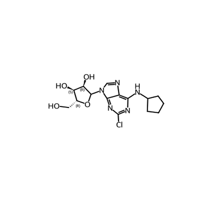 OC[C@H]1OC(n2cnc3c(NC4CCCC4)nc(Cl)nc32)[C@H](O)[C@@H]1O